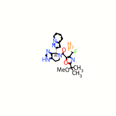 COC(C)(C)c1nc(C(F)P)c(C(=O)N2CCc3[nH]cnc3[C@@H]2c2cc3ccccn3n2)o1